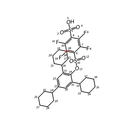 O=S(=O)(O)c1c(F)c(F)c(S(=O)(=O)Oc2c(C3CCCCC3)cc(C3CCCCC3)cc2C2CCCCC2)c(F)c1F